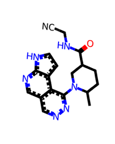 CC1CCC(C(=O)NCC#N)CN1c1nncc2cnc3[nH]ccc3c12